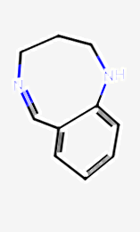 C1=NCCCNc2ccccc21